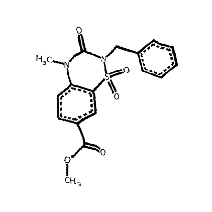 COC(=O)c1ccc2c(c1)S(=O)(=O)N(Cc1ccccc1)C(=O)N2C